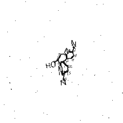 N#Cc1ccc2c(cc(O)c3nc(C#N)ccc32)n1